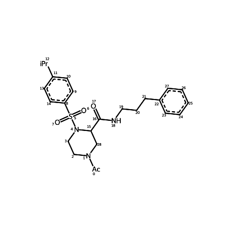 CC(=O)N1CCN(S(=O)(=O)c2ccc(C(C)C)cc2)C(C(=O)NCCCc2ccccc2)C1